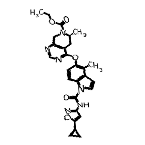 CCOC(=O)N1Cc2ncnc(Oc3ccc4c(ccn4C(=O)Nc4cc(C5CC5)on4)c3C)c2C[C@@H]1C